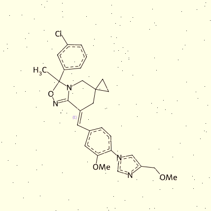 COCc1cn(-c2ccc(/C=C3\CC4(CC4)CN4C3=NOC4(C)c3cccc(Cl)c3)cc2OC)cn1